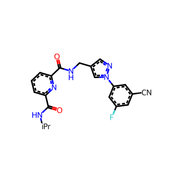 CC(C)NC(=O)c1cccc(C(=O)NCc2cnn(-c3cc(F)cc(C#N)c3)c2)n1